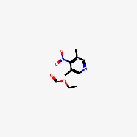 CCOC=O.Cc1cncc(C)c1[N+](=O)[O-]